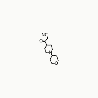 N#CCC(=O)C1CCN(C2CCOCC2)CC1